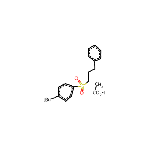 CC(=O)O.CC(C)(C)c1ccc(S(=O)(=O)CCCc2ccccc2)cc1